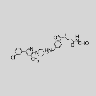 CC(CCC(=O)NC=O)c1coc2cc(CNCC3CCN(c4ncc(-c5cccc(Cl)c5)cc4C(F)(F)F)CC3)ccc12